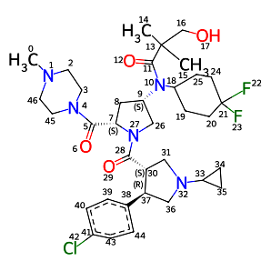 CN1CCN(C(=O)[C@@H]2C[C@H](N(C(=O)C(C)(C)CO)C3CCC(F)(F)CC3)CN2C(=O)[C@@H]2CN(C3CC3)C[C@H]2c2ccc(Cl)cc2)CC1